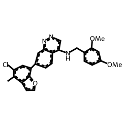 COc1ccc(CNc2cnnc3cc(-c4cc(Cl)c(C)c5ccoc45)ccc23)c(OC)c1